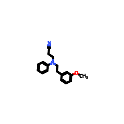 COc1cccc(CCN(CCC#N)c2ccccc2)c1